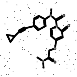 CN(C)C(=O)COc1ccn(C(=O)N(C)c2ccc(C#CC3CC3)cc2)c(=O)c1